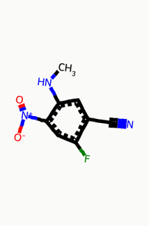 CNc1cc(C#N)c(F)cc1[N+](=O)[O-]